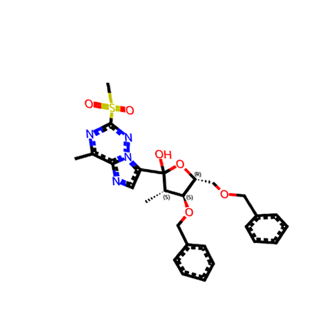 Cc1nc(S(C)(=O)=O)nn2c(C3(O)O[C@H](COCc4ccccc4)[C@@H](OCc4ccccc4)[C@@H]3C)cnc12